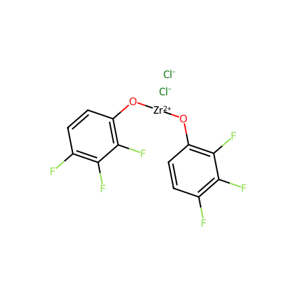 Fc1ccc([O][Zr+2][O]c2ccc(F)c(F)c2F)c(F)c1F.[Cl-].[Cl-]